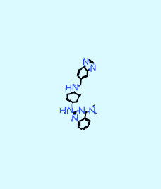 CN(C)c1nc(N[C@H]2CC[C@@H](NCc3ccc4nccnc4c3)CC2)nc2ccccc12